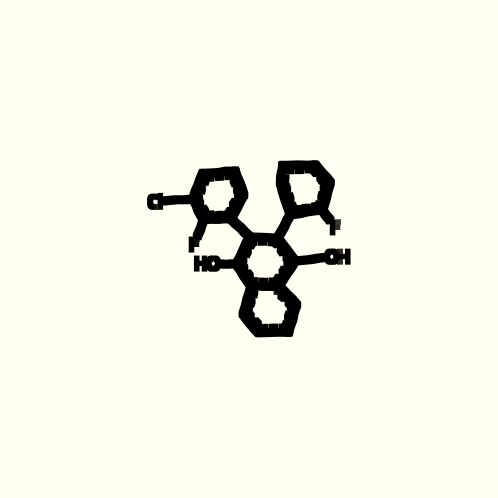 Oc1c(-c2ccccc2F)c(-c2cccc(Cl)c2F)c(O)c2ccccc12